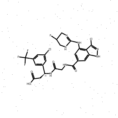 O=C(O)C[C@H](NC(=O)CNC(=O)c1cc(NC2=NCC(F)CN2)c2c(Cl)n[nH]c2c1)c1cc(Cl)cc(C(F)(F)F)c1